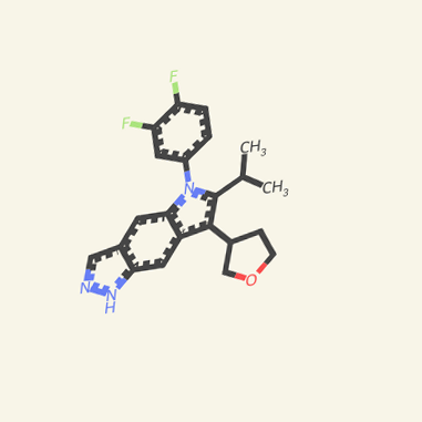 CC(C)c1c(C2CCOC2)c2cc3[nH]ncc3cc2n1-c1ccc(F)c(F)c1